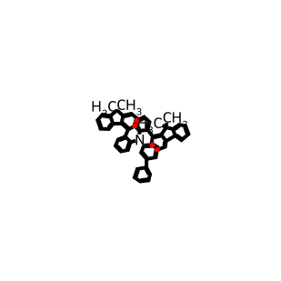 CC1(C)c2ccccc2-c2c(-c3ccccc3N(c3cccc(-c4ccccc4)c3)c3ccccc3-c3cccc4c3C(C)(C)c3ccccc3-4)cccc21